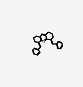 C(=C1/CCCc2cc3c(nc21)/C(=C/c1ccccc1)CCC3)/c1ccccc1